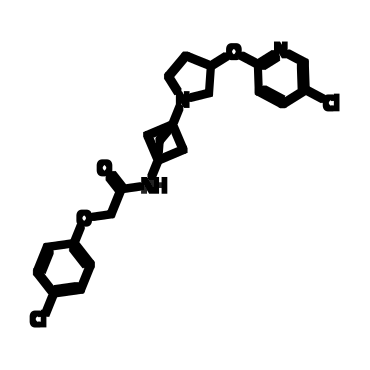 O=C(COc1ccc(Cl)cc1)NC12CC(N3CCC(Oc4ccc(Cl)cn4)C3)(C1)C2